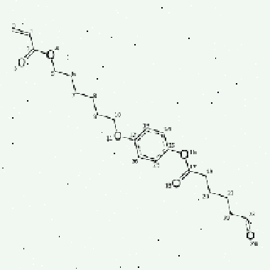 C=CC(=O)OCCCCCCOc1ccc(OC(=O)CCCCC=O)cc1